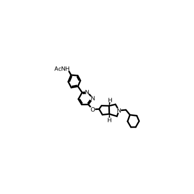 CC(=O)Nc1ccc(-c2ccc(OC3C[C@@H]4CN(CC5CCCCC5)C[C@@H]4C3)nn2)cc1